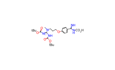 CN(CCCOc1ccc(C(=N)NC(=O)O)cc1)/C(=N\C(=O)OC(C)(C)C)NC(=O)OC(C)(C)C